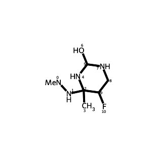 CNNC1(C)NC(O)NCC1F